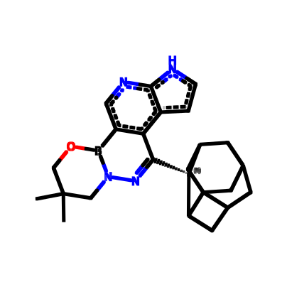 CC1(C)COB2c3cnc4[nH]ccc4c3C([C@@H]3C4CC5CC6CC3C6(C5)C4)=NN2C1